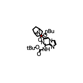 CCCCOC(=O)N1C2CCC1CC(c1cn3ccnc3c(NC(=O)OC(C)(C)C)n1)C2